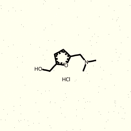 CN(C)Cc1ccc(CO)o1.Cl